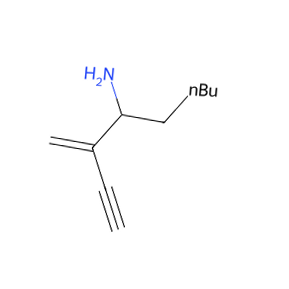 C#CC(=C)C(N)CCCCC